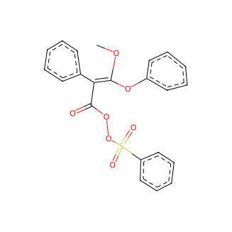 COC(Oc1ccccc1)=C(C(=O)OOS(=O)(=O)c1ccccc1)c1ccccc1